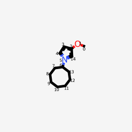 COc1ccn(C2CCCCCCC2)c1